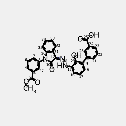 COC(=O)c1cccc(N2C(=O)/C(=N\Nc3cccc(-c4cccc(C(=O)O)c4)c3O)c3ccccc32)c1